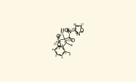 Cc1ccccc1C(C)C(C)(C(=O)N(O)c1ccon1)S(C)(=O)=O